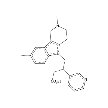 CCOC(=O)CC(Cn1c2c(c3cc(C)ccc31)CN(C)CC2)c1cccnc1